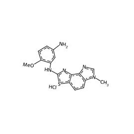 COc1ccc(N)cc1Nc1nc2c(ccc3c2ncn3C)s1.Cl